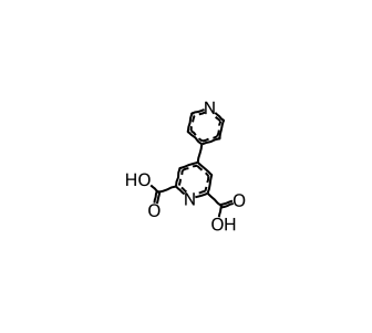 O=C(O)c1cc(-c2ccncc2)cc(C(=O)O)n1